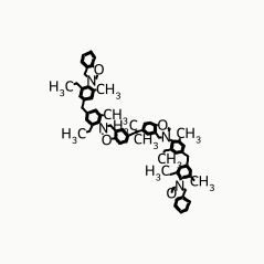 CCc1cc(Cc2cc(C)c(N3COc4ccc(C(C)(C)c5ccc6c(c5)CN(c5c(C)cc(Cc7cc(C)c(N8COc9ccccc9C8)c(CC)c7)cc5CC)CO6)cc4C3)c(CC)c2)cc(C)c1N1COc2ccccc2C1